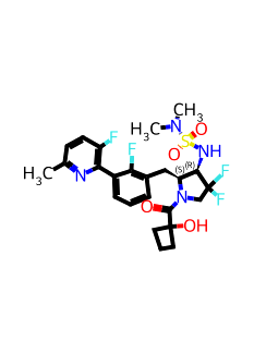 Cc1ccc(F)c(-c2cccc(C[C@H]3[C@@H](NS(=O)(=O)N(C)C)C(F)(F)CN3C(=O)C3(O)CCC3)c2F)n1